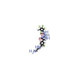 Cc1c(F)c(F)c(F)c(NC(=O)Nc2nc(=O)c(-c3ccc(CNCCCN)c(F)c3)c[nH]2)c1F